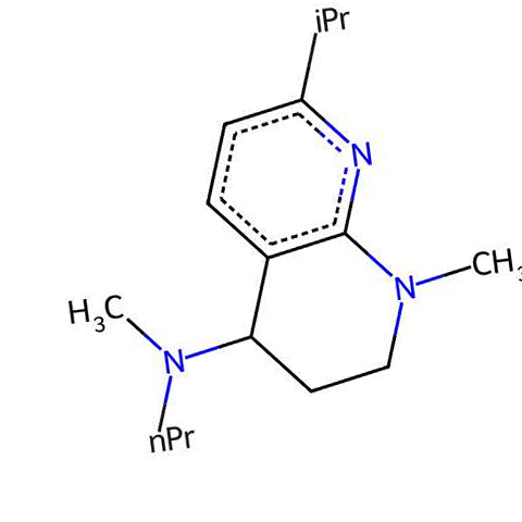 CCCN(C)C1CCN(C)c2nc(C(C)C)ccc21